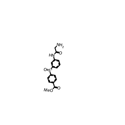 COC(=O)c1ccc([S+]([O-])c2cccc(NC(=O)CN)c2)cc1